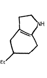 [CH2]CC1CCC2=C(CCN2)C1